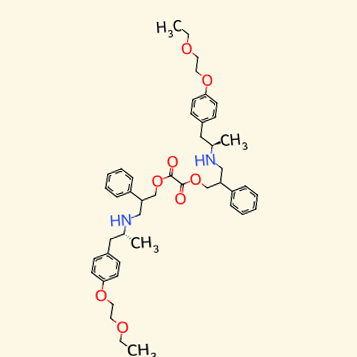 CCOCCOc1ccc(C[C@@H](C)NCC(COC(=O)C(=O)OCC(CN[C@H](C)Cc2ccc(OCCOCC)cc2)c2ccccc2)c2ccccc2)cc1